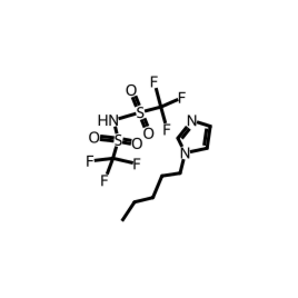 CCCCCn1ccnc1.O=S(=O)(NS(=O)(=O)C(F)(F)F)C(F)(F)F